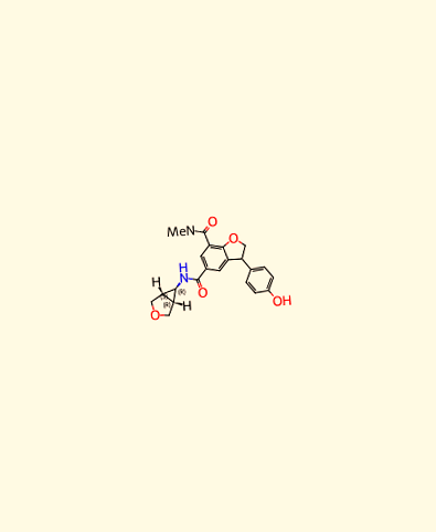 CNC(=O)c1cc(C(=O)N[C@H]2[C@@H]3COC[C@@H]32)cc2c1OCC2c1ccc(O)cc1